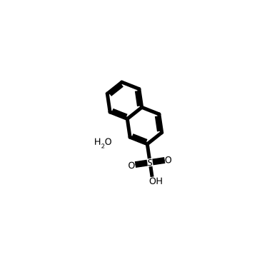 O.O=S(=O)(O)c1ccc2ccccc2c1